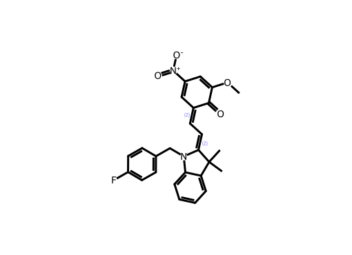 COC1=CC([N+](=O)[O-])=C/C(=C/C=C2\N(Cc3ccc(F)cc3)c3ccccc3C2(C)C)C1=O